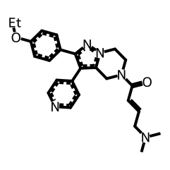 CCOc1ccc(-c2nn3c(c2-c2ccncc2)CN(C(=O)/C=C/CN(C)C)CC3)cc1